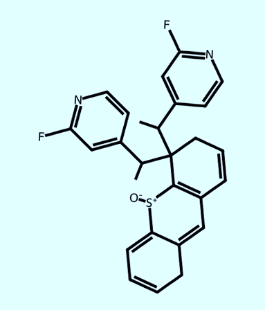 CC(c1ccnc(F)c1)C1(C(C)c2ccnc(F)c2)CC=CC2=C1[S+]([O-])C1=CC=CCC1=C2